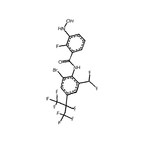 O=C(Nc1c(Br)cc(C(F)(C(F)(F)F)C(F)(F)F)cc1C(F)F)c1cccc(NO)c1F